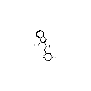 CN1CCOC(CNc2nc3ccccc3n2O)C1